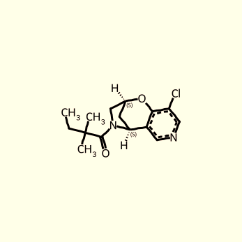 CCC(C)(C)C(=O)N1C[C@@H]2C[C@H]1c1cncc(Cl)c1O2